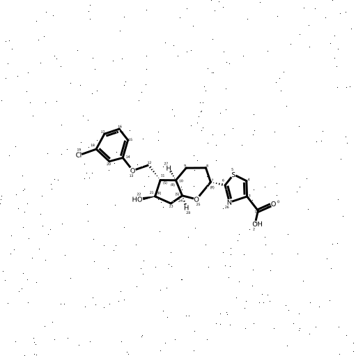 O=C(O)c1csc([C@H]2CC[C@@H]3[C@@H](COc4cccc(Cl)c4)[C@H](O)C[C@@H]3O2)n1